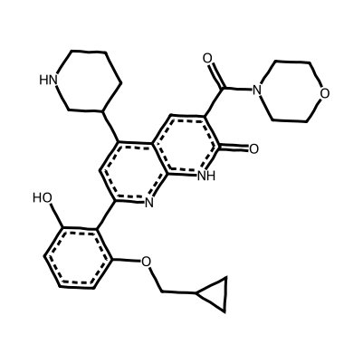 O=C(c1cc2c(C3CCCNC3)cc(-c3c(O)cccc3OCC3CC3)nc2[nH]c1=O)N1CCOCC1